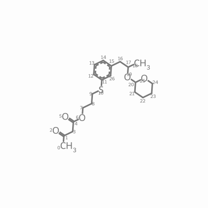 CC(=O)CC(=O)OCCCSc1cccc(CC(C)OC2CCCCO2)c1